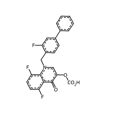 O=C(O)Oc1cn(Cc2ccc(-c3ccccc3)cc2F)c2c(F)ccc(F)c2c1=O